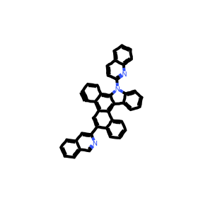 c1ccc2c(c#1)c1cc(-c3cc4ccccc4cn3)c3ccccc3c1c1c3ccccc3n(-c3ccc4ccccc4n3)c21